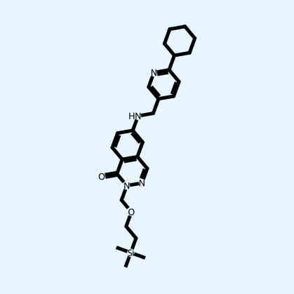 C[Si](C)(C)CCOCn1ncc2cc(NCc3ccc(C4CCCCC4)nc3)ccc2c1=O